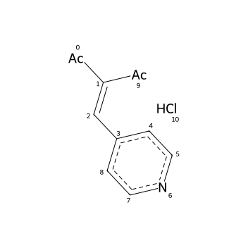 CC(=O)C(=Cc1ccncc1)C(C)=O.Cl